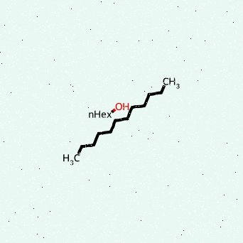 CCCCCCCCCCCC.CCCCCCO